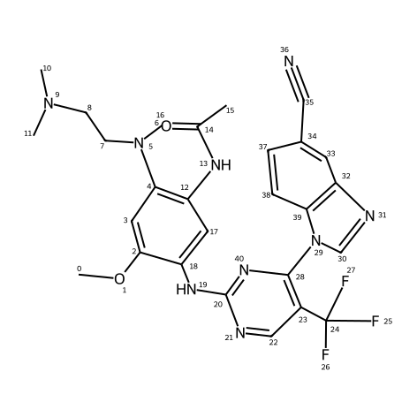 COc1cc(N(C)CCN(C)C)c(NC(C)=O)cc1Nc1ncc(C(F)(F)F)c(-n2cnc3cc(C#N)ccc32)n1